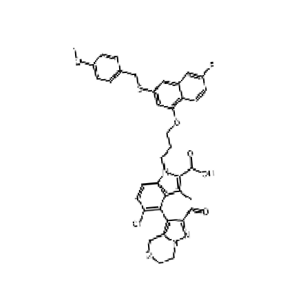 COc1ccc(CSc2cc(OCCCn3c(C(=O)O)c(C)c4c(-c5c(C=O)nn6c5COCC6)c(Cl)ccc43)c3ccc(F)cc3c2)cc1